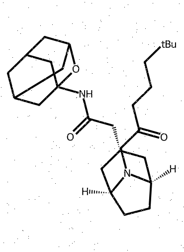 CC(C)(C)CCCC(=O)CN1[C@@H]2CC[C@H]1C[C@H](CC(=O)NC13CC4CC(CC(C4)O1)C3)C2